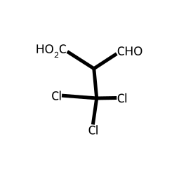 O=CC(C(=O)O)C(Cl)(Cl)Cl